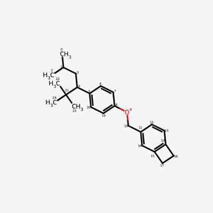 CC(C)CC(c1ccc(OCc2ccc3c(c2)CC3)cc1)C(C)(C)C